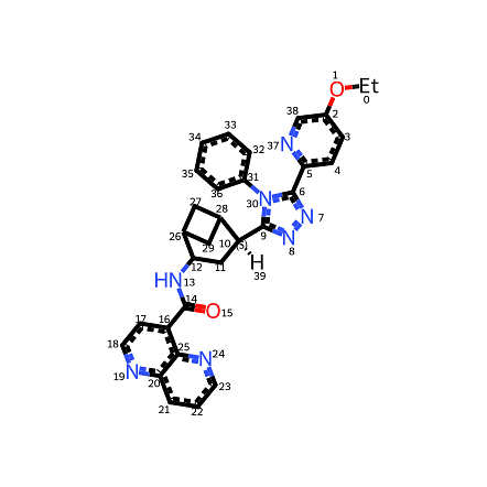 CCOc1ccc(-c2nnc([C@H]3CC(NC(=O)c4ccnc5cccnc45)C4CC3C4)n2-c2ccccc2)nc1